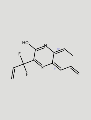 C=C/C=c1/nc(C(F)(F)C=C)c(O)n/c1=C/C